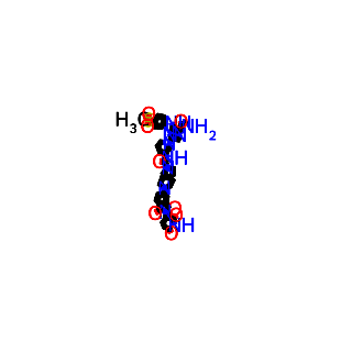 CS(=O)(=O)c1ccc(Nc2nc(N3CCCC(NC(=O)N4CCC5(CCN(c6ccc7c(c6)C(=O)N(C6CCC(=O)NC6=O)C7=O)CC5)C4)C3)cnc2C(N)=O)cc1